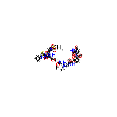 CN(CCNC(=O)CCCOCC[C@H](NC(=O)C1CCN(S(C)(=O)=O)C1)C(=O)NC1NC(c2ccccc2)CS1)CCNC(=O)COc1cccc2c1C(=O)N(C1CCC(=O)NC1=O)C2=O